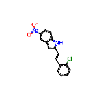 O=[N+]([O-])c1ccc2[nH]c(C=Cc3ccccc3Cl)cc2c1